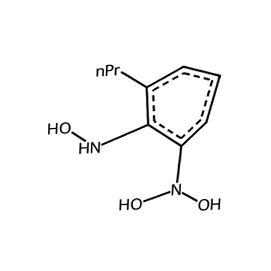 CCCc1cccc(N(O)O)c1NO